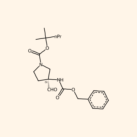 CCCC(C)(C)OC(=O)N1CC[C@](C=O)(NC(=O)OCc2ccccc2)C1